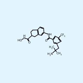 CC(C)(N)Cc1cc(C(=O)Nc2ccc3c(c2)CC(C(=O)NO)CC3)cc(C(F)(F)F)c1